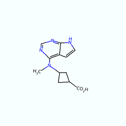 CN(c1ncnc2[nH]ccc12)C1CC(C(=O)O)C1